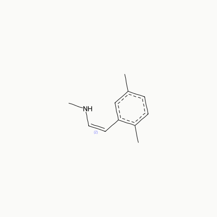 CN/C=C\c1cc(C)ccc1C